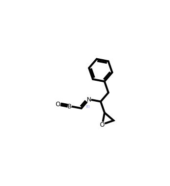 O=B/C=N/C(Cc1ccccc1)C1CO1